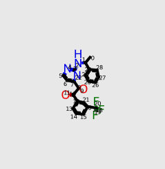 CC(Nc1nccc(C(=O)C(=O)c2cccc(C(F)(F)F)c2)n1)c1ccccc1